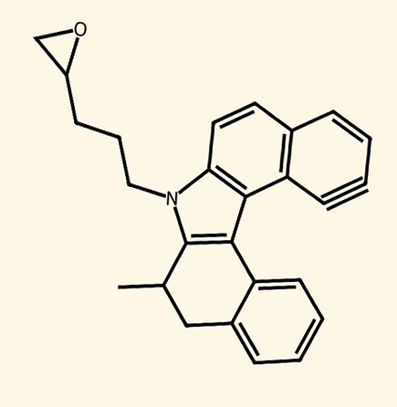 CC1Cc2ccccc2-c2c1n(CCCC1CO1)c1ccc3ccc#cc3c21